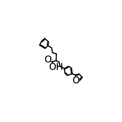 O=C(O)C(CCCc1ccccc1)CCc1ccc(-c2ccco2)cc1